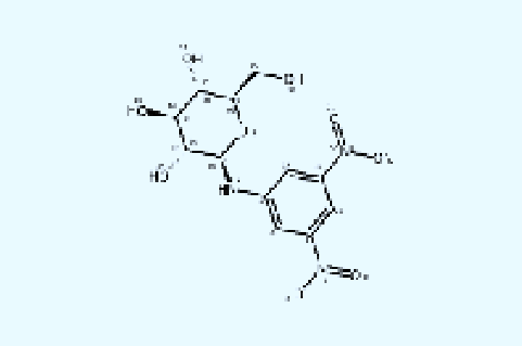 O=[N+]([O-])c1cc(N[C@@H]2O[C@H](CO)[C@@H](O)[C@H](O)[C@H]2O)cc([N+](=O)[O-])c1